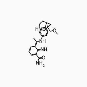 COCC12CNCCC1(c1ccc(N/C(C)=C3/C=CC=C(C(N)=O)C3=N)cc1)C2